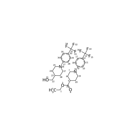 CCOC(=O)C1CCN(c2ccc(C(F)(F)F)cc2)CC1.OCC1CCN(c2ccc(C(F)(F)F)cc2)CC1